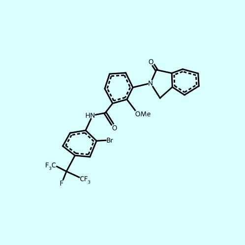 COc1c(C(=O)Nc2ccc(C(F)(C(F)(F)F)C(F)(F)F)cc2Br)cccc1N1Cc2ccccc2C1=O